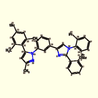 COc1ccccc1-c1nc(-c2cccc(-n3nc(C)cc3-c3c(C)cc(C(C)(C)C)cc3C)c2)cn1-c1c(C(C)C)cccc1C(C)C